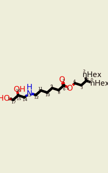 CCCCCCC(CCCCCC)CCOC(=O)CCCCCNCC(O)CO